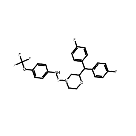 Fc1ccc(C(c2ccc(F)cc2)C2CN(SNc3ccc(OC(F)(F)F)cc3)CCO2)cc1